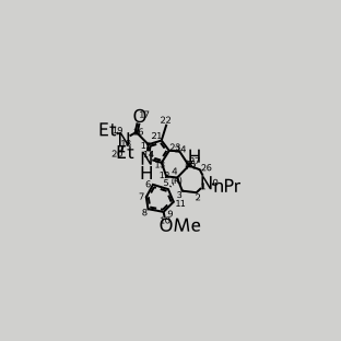 CCCN1CC[C@@]2(c3cccc(OC)c3)Cc3[nH]c(C(=O)N(CC)CC)c(C)c3C[C@@H]2C1